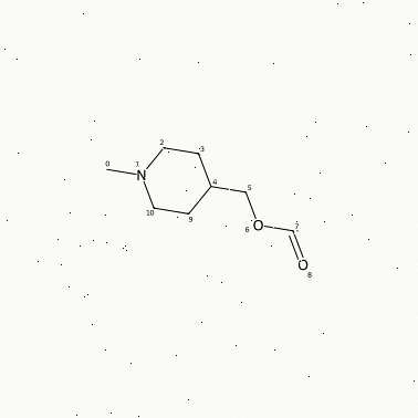 CN1CCC(CO[C]=O)CC1